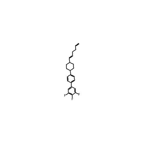 C=CCCC=CC1CCC(c2ccc(-c3cc(F)c(F)c(F)c3)cc2)CC1